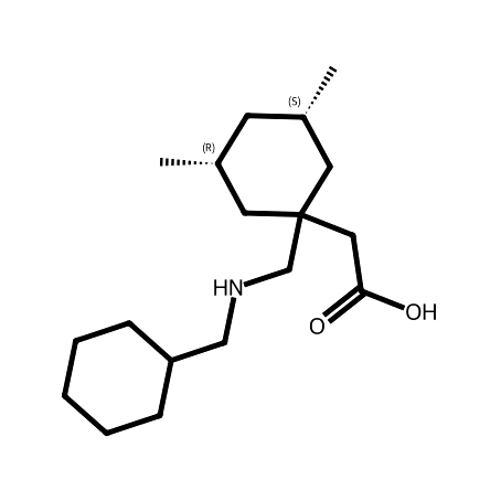 C[C@@H]1C[C@H](C)CC(CNCC2CCCCC2)(CC(=O)O)C1